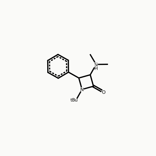 C[SiH](C)C1C(=O)N(C(C)(C)C)C1c1ccccc1